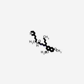 CCCCC/C(=C\C=C\C(=O)N[C@H](C)CCCc1cccnc1)c1cc(OC)c2ccc(OC)cc2c1